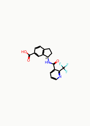 O=C(O)c1ccc2c(c1)[C@H](NC(=O)c1cccnc1C(F)(F)F)CC2